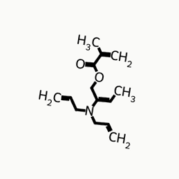 C=CCN(CC=C)C(=CC)COC(=O)C(=C)C